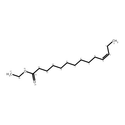 CC/C=C\CCCCCCCCCC(=O)OCC